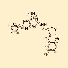 Nc1nc(NCC2CCCN2Cc2cc(F)ccc2Br)nc2nc(-c3ccco3)nn12